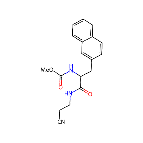 COC(=O)NC(Cc1ccc2ccccc2c1)C(=O)NCCC#N